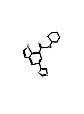 O=C(NC1CCCCC1)c1cc(-c2cncs2)cc2cc[nH]c12